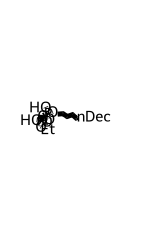 CCCCCCCCCCCCCCCOP(=O)(O)OP(=O)(O)OCC